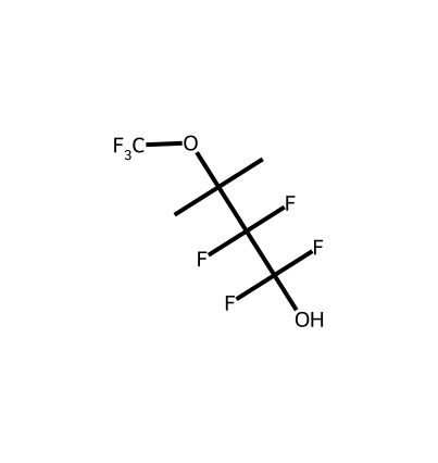 CC(C)(OC(F)(F)F)C(F)(F)C(O)(F)F